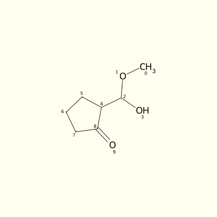 COC(O)C1CCCC1=O